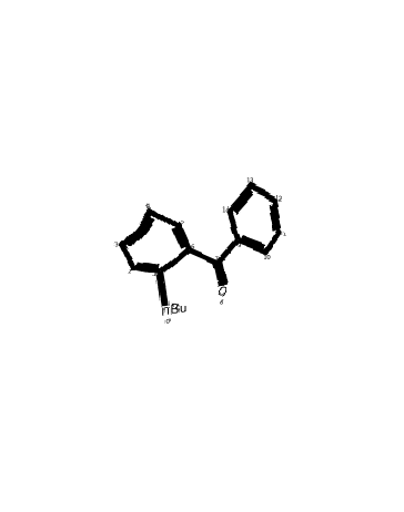 [CH2]CCCc1ccccc1C(=O)c1ccccc1